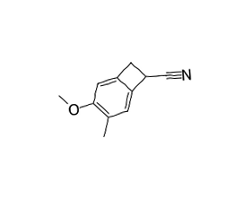 COc1cc2c(cc1C)C(C#N)C2